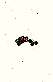 c1ccc(-c2ccccc2N(c2ccc(-c3ccc4oc5c(-c6ccccc6)cccc5c4c3)cc2)c2cccc3c2-c2ccccc2C3(c2ccccc2)c2ccccc2)cc1